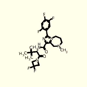 CN1CCCn2c(-c3cc(F)c(F)cc3F)nc(C(=O)N[C@H](C(=O)N3CC(F)(F)C3)C(C)(C)C)c2C1